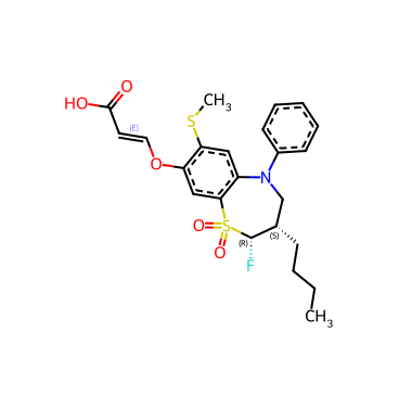 CCCC[C@H]1CN(c2ccccc2)c2cc(SC)c(O/C=C/C(=O)O)cc2S(=O)(=O)[C@H]1F